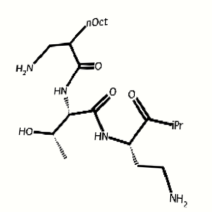 CCCCCCCCC(CN)C(=O)N[C@H](C(=O)N[C@@H](CCN)C(=O)C(C)C)[C@H](C)O